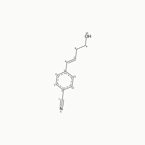 N#Cc1ccc(C=CCCO)cc1